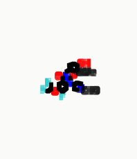 COc1cc(Cn2c(=O)c3cc(OC(CF)CF)c(F)cc3n(C3CCN(C=O)CC3)c2=O)ccc1O